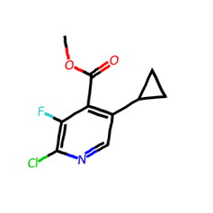 COC(=O)c1c(C2CC2)cnc(Cl)c1F